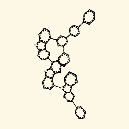 c1ccc(-c2ccc(-c3nc(-c4ccccc4)nc(-c4cccc5oc6ccc(-c7cccc8c7oc7cccc(-n9c%10ccccc%10c%10cc(-c%11ccccc%11)ccc%109)c78)cc6c45)n3)cc2)cc1